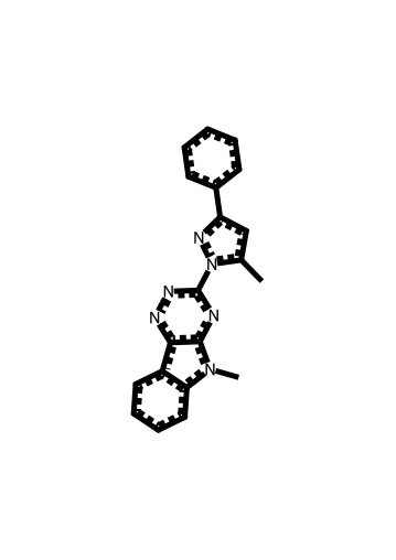 Cc1cc(-c2ccccc2)nn1-c1nnc2c3ccccc3n(C)c2n1